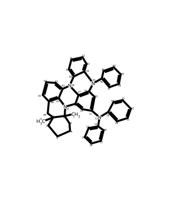 CC12CCCCC1(C)N1c3cc(N(c4ccccc4)c4ccccc4)cc4c3N(c3ccccc3N4c3ccccc3)c3cccc(c31)C2